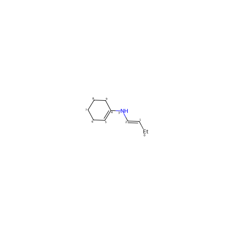 CC/C=C/NC1=CCCCC1